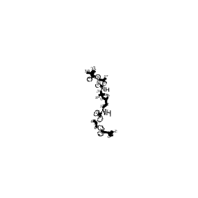 C=C(C)C(=O)OCC(C)OC(=O)NCCC(C)CC(C)(C)CNC(=O)OC(C)COC(=O)C(=C)C